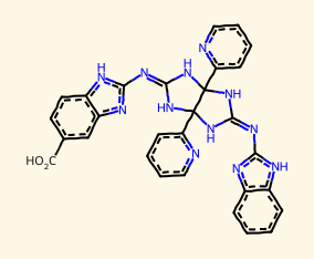 O=C(O)c1ccc2[nH]c(N=C3NC4(c5ccccn5)NC(=Nc5nc6ccccc6[nH]5)NC4(c4ccccn4)N3)nc2c1